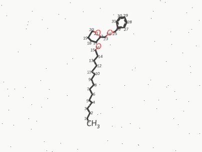 CCCCCCCCCCCCCCCCOC1CCCOC1COCc1ccccc1